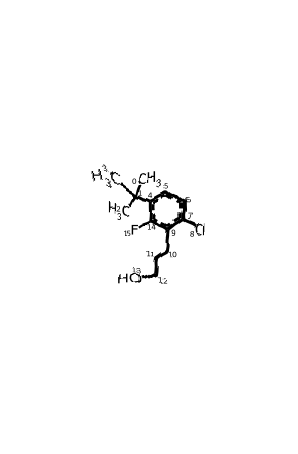 CC(C)(C)c1ccc(Cl)c(CCCO)c1F